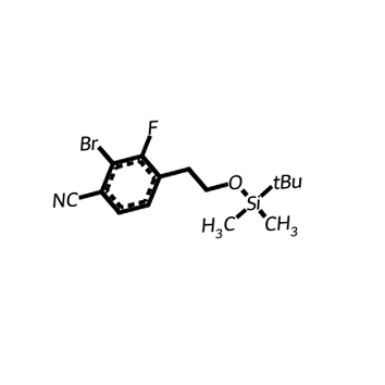 CC(C)(C)[Si](C)(C)OCCc1ccc(C#N)c(Br)c1F